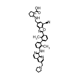 Cc1c(Nc2nccc3cc(CN4CCCC4)cnc23)cccc1-c1cccc(-c2nc3cc(CN[C@H]4CCC[C@H]4C(=O)O)cc(C#N)c3o2)c1C